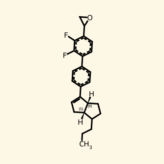 CCCC1CC[C@H]2C(c3ccc(-c4ccc(C5CO5)c(F)c4F)cc3)=CC[C@@H]12